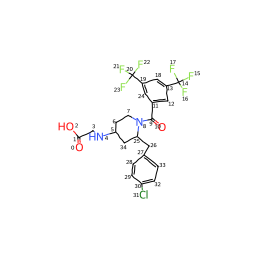 O=C(O)CNC1CCN(C(=O)c2cc(C(F)(F)F)cc(C(F)(F)F)c2)C(Cc2ccc(Cl)cc2)C1